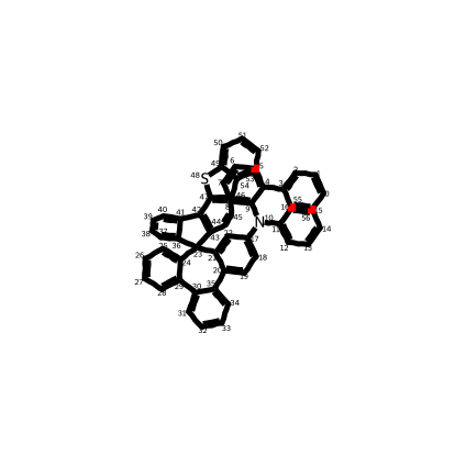 c1ccc(-c2ccccc2N(c2ccccc2)c2ccc3c(c2)C2(c4ccccc4-c4ccccc4-3)c3ccccc3-c3c2ccc2c3sc3ccccc32)cc1